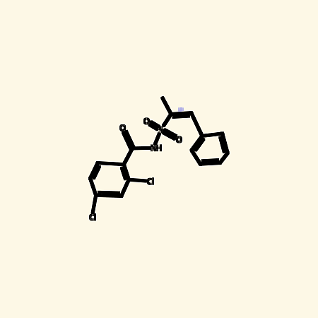 C/C(=C/c1ccccc1)S(=O)(=O)NC(=O)c1ccc(Cl)cc1Cl